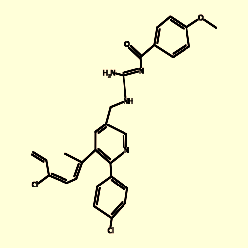 C=C/C(Cl)=C\C=C(/C)c1cc(CN/C(N)=N/C(=O)c2ccc(OC)cc2)cnc1-c1ccc(Cl)cc1